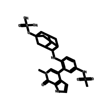 Cn1cc(-c2cc(NS(C)(=O)=O)ccc2NC2C3CC4CC2CC(OP(=O)(O)O)(C4)C3)c2cc[nH]c2c1=O